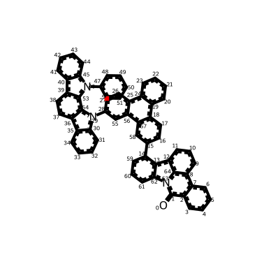 O=c1c2ccccc2c2cccc3c4c(-c5ccc6c7ccccc7c7ccc(-n8c9ccccc9c9ccc%10c%11ccccc%11n(-c%11ccccc%11)c%10c98)cc7c6c5)cccc4n1c23